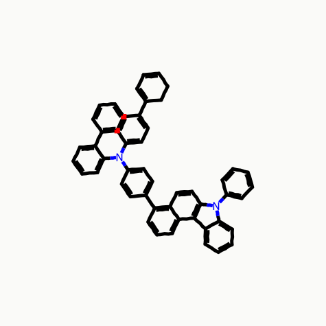 C1=CCCC(c2ccc(N(c3ccc(-c4cccc5c4ccc4c5c5ccccc5n4-c4ccccc4)cc3)c3ccccc3-c3ccccc3)cc2)=C1